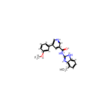 O=C(Nc1nc2c(C(=O)O)cccc2[nH]1)c1cncc(-c2cccc(OC(F)(F)F)c2)c1